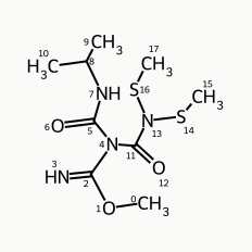 COC(=N)N(C(=O)NC(C)C)C(=O)N(SC)SC